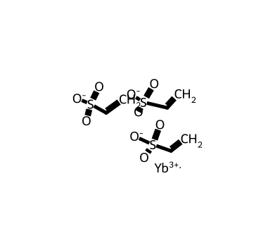 C=CS(=O)(=O)[O-].C=CS(=O)(=O)[O-].C=CS(=O)(=O)[O-].[Yb+3]